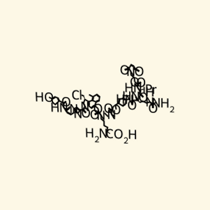 Cc1cccc2c(OC(=O)N(CCCC[C@H](N)C(=O)O)CCN(C)C(=O)OCc3ccc(NC(=O)[C@H](CCCNC(N)=O)NC(=O)[C@@H](NC(=O)OCCN4C(=O)C=CC4=O)C(C)C)cc3)cc3c(c12)[C@H](CCl)CN3C(=O)c1cn2cc(NC(=O)C3=CC=C(O)CC3)ccc2n1